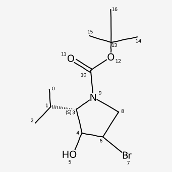 CC(C)[C@H]1C(O)C(Br)CN1C(=O)OC(C)(C)C